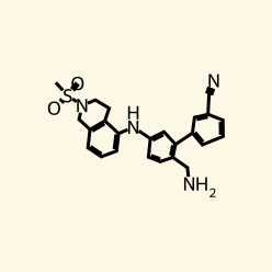 CS(=O)(=O)N1CCc2c(cccc2Nc2ccc(CN)c(-c3cccc(C#N)c3)c2)C1